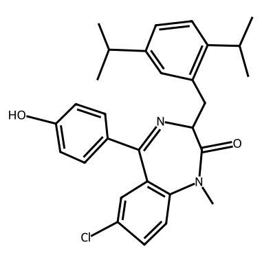 CC(C)c1ccc(C(C)C)c(CC2N=C(c3ccc(O)cc3)c3cc(Cl)ccc3N(C)C2=O)c1